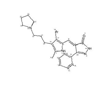 Cc1[nH]c(/C=C2/C(=O)NN=C2c2nccnn2)c(C(C)C)c1CCCN1CCCC1